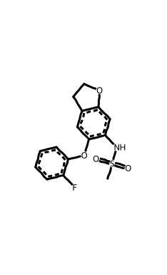 CS(=O)(=O)Nc1cc2c(cc1Oc1ccccc1F)CCO2